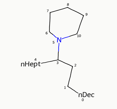 CCCCCCCCCCCCC(CCCCCCC)N1CCCCC1